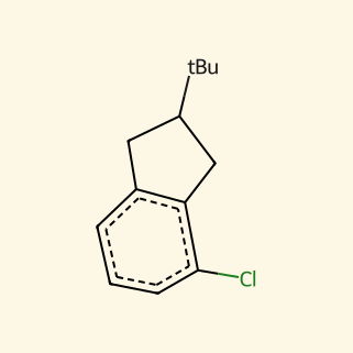 CC(C)(C)C1Cc2cccc(Cl)c2C1